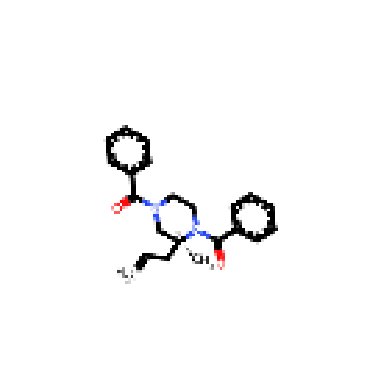 C=CC[C@@]1(C)CN(C(=O)c2ccccc2)CCN1C(=O)c1ccccc1